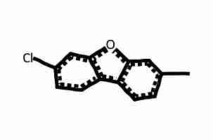 Cc1ccc2c(c1)oc1cc(Cl)ccc12